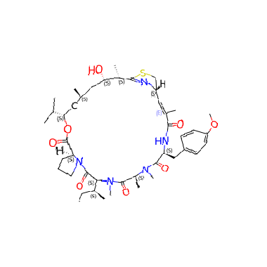 CC[C@H](C)[C@H]1C(=O)N2CCC[C@H]2C(=O)O[C@H](C(C)C)C[C@@H](C)C[C@H](O)[C@H](C)C2=N[C@@H](/C=C(\C)C(=O)N[C@@H](Cc3ccc(OC)cc3)C(=O)N(C)[C@@H](C)C(=O)N1C)CS2